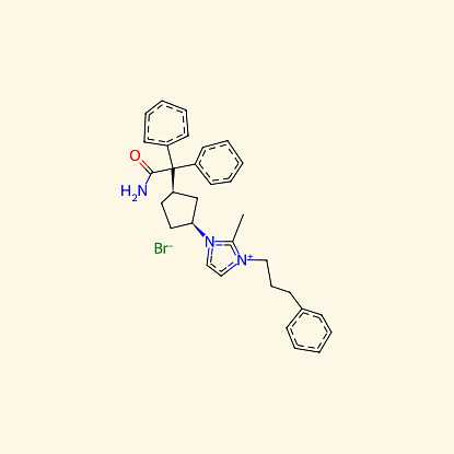 Cc1n([C@H]2CC[C@@H](C(C(N)=O)(c3ccccc3)c3ccccc3)C2)cc[n+]1CCCc1ccccc1.[Br-]